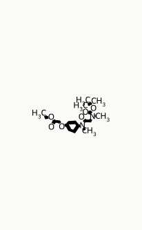 CCOC(=O)COc1ccc(N(C)C(=O)CN(C)C(=O)OC(C)(C)C)cc1